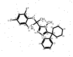 Cn1c(C(C)(C)Oc2c(F)cc(F)cc2F)nnc1C1(c2ccccc2)CCCCC1